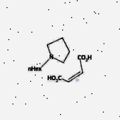 CCCCCCN1CCCC1.O=C(O)/C=C\C(=O)O